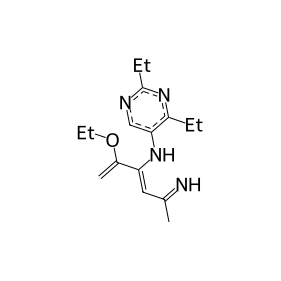 C=C(OCC)/C(=C/C(C)=N)Nc1cnc(CC)nc1CC